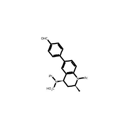 CC(=O)N1c2ccc(-c3ccc(C=O)cc3)cc2[C@H](N(C(=O)O)C(C)C)C[C@@H]1C